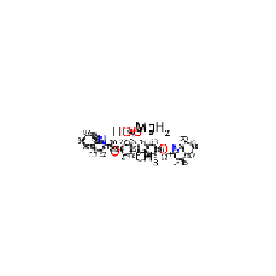 CC(CCC(=O)O)(c1ccc(OCc2ccc3ccccc3n2)cc1)c1ccc(OCc2ccc3ccccc3n2)cc1.[MgH2]